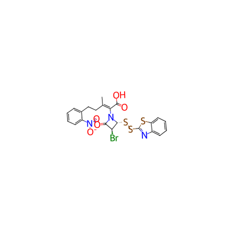 C/C(CCc1ccccc1[N+](=O)[O-])=C(\C(=O)O)N1C(=O)[C@H](Br)[C@H]1SSc1nc2ccccc2s1